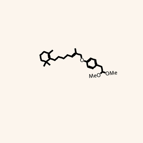 COC(Cc1ccc(OCC(C)=CCCCCC2=C(C)CCCC2(C)C)cc1)OC